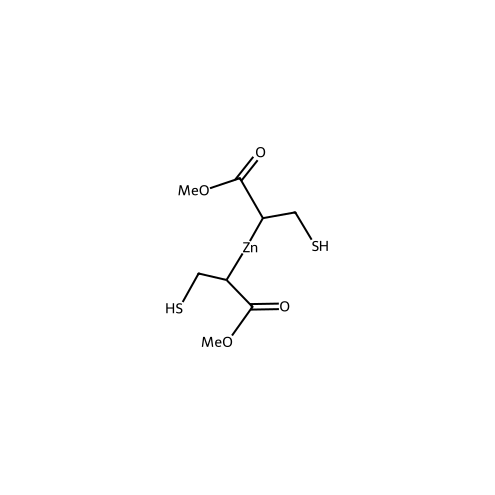 COC(=O)[CH](CS)[Zn][CH](CS)C(=O)OC